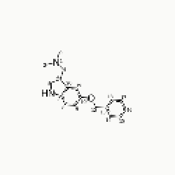 CN(C)CC1CNc2ccc(OCc3ccccc3)cc21